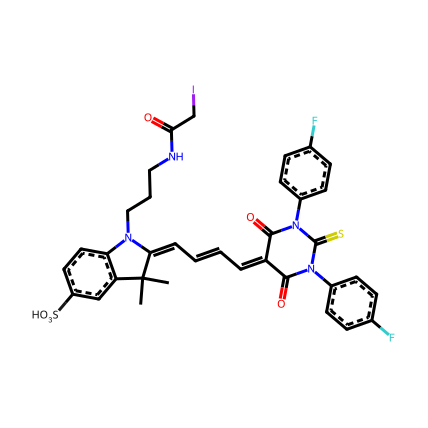 CC1(C)/C(=C\C=C\C=C2C(=O)N(c3ccc(F)cc3)C(=S)N(c3ccc(F)cc3)C2=O)N(CCCNC(=O)CI)c2ccc(S(=O)(=O)O)cc21